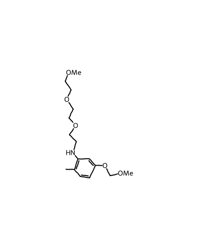 COCCOCCOCCNc1cc(OCOC)ccc1C